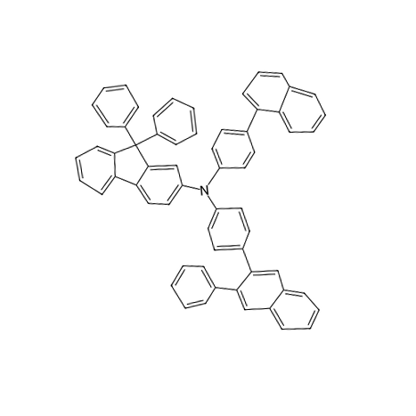 c1ccc(-c2cc3ccccc3cc2-c2ccc(N(c3ccc(-c4cccc5ccccc45)cc3)c3ccc4c(c3)C(c3ccccc3)(c3ccccc3)c3ccccc3-4)cc2)cc1